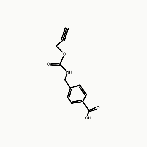 C#CCOC(=O)NCc1ccc(C(=O)O)cc1